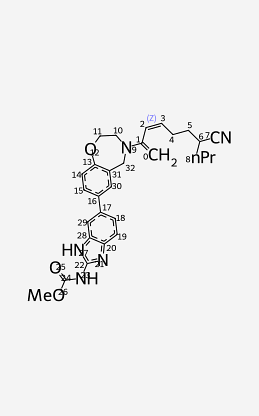 C=C(/C=C\CCC(C#N)CCC)N1CCOc2ccc(-c3ccc4nc(NC(=O)OC)[nH]c4c3)cc2C1